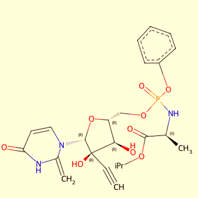 C#C[C@@]1(O)[C@H](O)[C@@H](COP(=O)(N[C@@H](C)C(=O)OC(C)C)Oc2ccccc2)O[C@H]1N1C=CC(=O)NC1=C